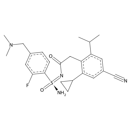 CC(C)c1cc(C#N)cc(C2CC2)c1CC(=O)N=[S@](N)(=O)c1ccc(CN(C)C)cc1F